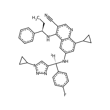 [2H][C@](Nc1cc(C2CC2)c2ncc(C#N)c(N[C@H](CC)c3ccccc3)c2c1)(c1ccc(F)cc1)c1cn(C2CC2)nn1